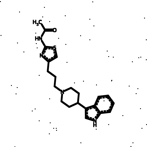 CC(=O)Nc1nc(CCCN2CCC(c3c[nH]c4ccccc34)CC2)cs1